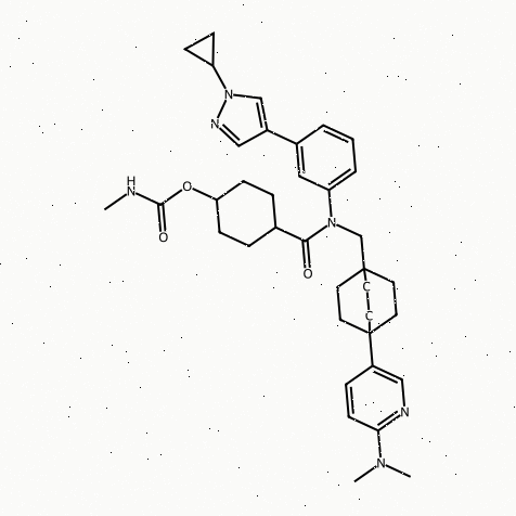 CNC(=O)OC1CCC(C(=O)N(CC23CCC(c4ccc(N(C)C)nc4)(CC2)CC3)c2cccc(-c3cnn(C4CC4)c3)c2)CC1